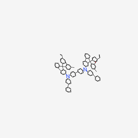 C=Cc1ccc(C2(c3ccc(C)cc3C)c3ccccc3-c3ccc(N(c4ccc(-c5ccccc5)cc4)c4ccc(-c5ccc(N(c6ccc(-c7ccccc7)cc6)c6ccc7c(c6)C(c6ccc(C=C)cc6)(c6ccc(C)cc6C)c6ccccc6-7)cc5)cc4)cc32)cc1